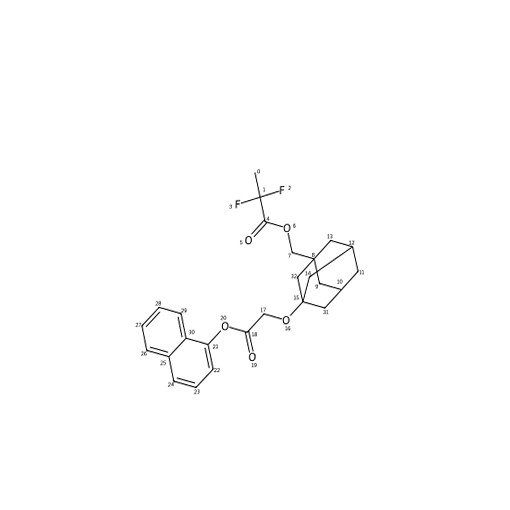 CC(F)(F)C(=O)OCC12CC3CC(C1)CC(OCC(=O)Oc1cccc4ccccc14)(C3)C2